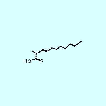 CCCCCCCC=CC(C)C(=O)O